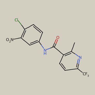 Cc1nc(C(F)(F)F)ccc1C(=O)Nc1ccc(Cl)c([N+](=O)[O-])c1